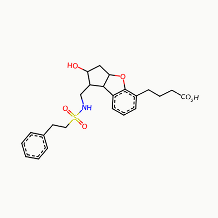 O=C(O)CCCc1cccc2c1OC1CC(O)C(CNS(=O)(=O)CCc3ccccc3)C21